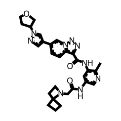 Cc1ncc(NC(=O)CN2CCC23CCC3)cc1NC(=O)c1nnn2cc(-c3cnn(C4CCOC4)c3)ccc12